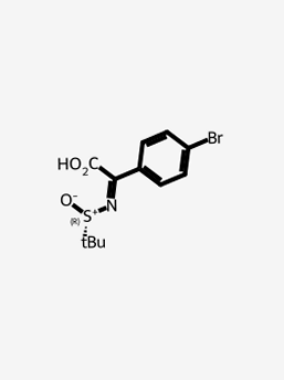 CC(C)(C)[S@+]([O-])N=C(C(=O)O)c1ccc(Br)cc1